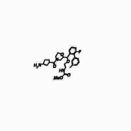 COC(=O)NCCOC(c1cccc(F)c1-c1cccc(C)c1)C1CN(C(=O)C2CCC(N)C2)CCO1